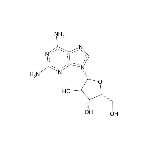 Nc1nc(N)c2ncn([C@@H]3O[C@H](CO)[C@H](O)C3O)c2n1